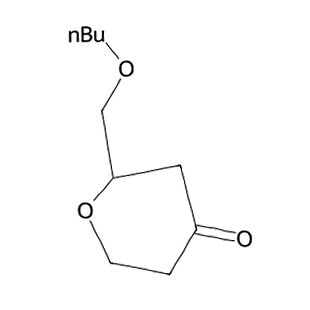 CCCCOCC1CC(=O)CCO1